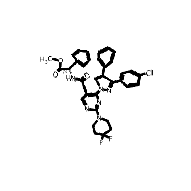 COC(=O)[C@@H](NC(=O)c1cnc(N2CCC(F)(F)CC2)nc1N1CC(c2ccccc2)C(c2ccc(Cl)cc2)=N1)c1ccccc1